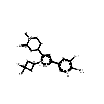 CN1CCC(c2cc(-c3cnc(N)c(F)c3)nn2C2CC(F)(F)C2)CC1=O